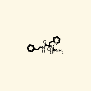 CC(Cc1ccccn1)(OC(N)=O)C(=O)NCCc1ccccc1